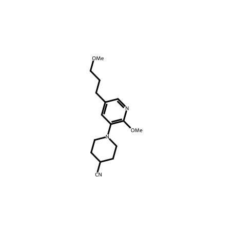 COCCCc1cnc(OC)c(N2CCC(C#N)CC2)c1